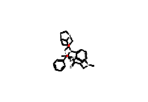 Cc1nc2ccccc2n1C1CC2CCN(C1)C2CC[C@H](NC(=O)C1CN(C)C1)c1ccccc1